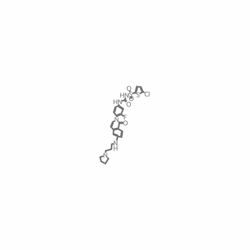 O=C(Nc1ccc(-n2ccc3cc(NCCCN4CCCC4)ccc3c2=O)c(F)c1)NS(=O)(=O)c1ccc(Cl)s1